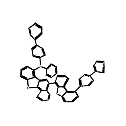 c1ccc(-c2ccc(-c3cccc4sc5c(-c6cc7c(oc8cccc(N(c9ccccc9)c9ccc(-c%10ccccc%10)cc9)c87)c7ccccc67)cccc5c34)cc2)cc1